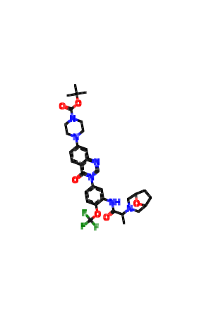 CC(C(=O)Nc1cc(-n2cnc3cc(N4CCN(C(=O)OC(C)(C)C)CC4)ccc3c2=O)ccc1OC(F)(F)F)N1CC2CCC(C1)O2